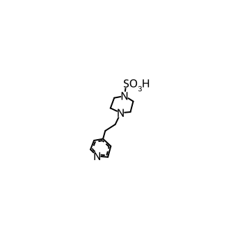 O=S(=O)(O)N1CCN(CCc2ccncc2)CC1